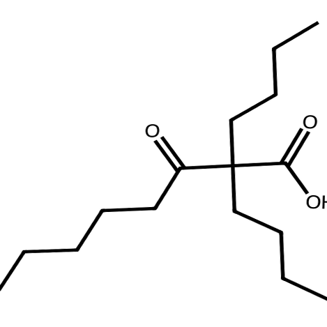 CCCCCC(=O)C(CCCC)(CCCC)C(=O)O